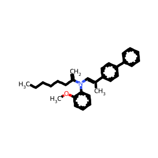 C=C(CCCCCC)N(/C=C(\C)c1ccc(-c2ccccc2)cc1)c1ccccc1OC